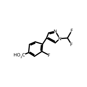 O=C(O)c1ccc(-c2cnn(C(F)F)c2)c(F)c1